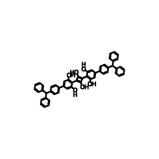 OC1=C(c2c(O)cc(-c3ccc(C(c4ccccc4)c4ccccc4)cc3)cc2O)C(O)=C1c1c(O)cc(-c2ccc(C(c3ccccc3)c3ccccc3)cc2)cc1O